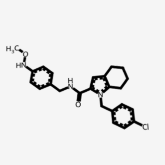 CONc1ccc(CNC(=O)c2cc3c(n2Cc2ccc(Cl)cc2)CCCC3)cc1